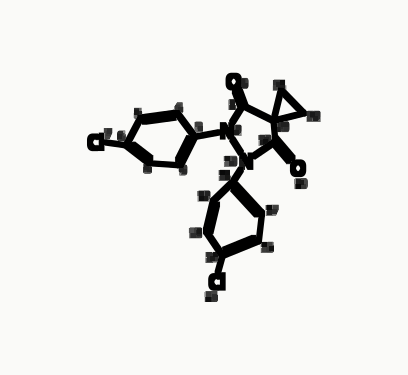 O=C1N(c2ccc(Cl)cc2)N(c2ccc(Cl)cc2)C(=O)C12CC2